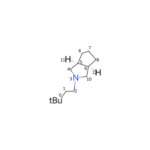 CC(C)(C)CCN1C[C@H]2CCC[C@H]2C1